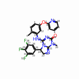 Cc1ccc(Oc2ccccn2)cc1NC1=NC(=O)N(C)C2=NCC(c3cc(F)c(F)c(F)c3)N12